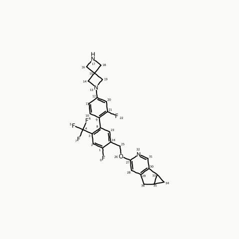 Fc1cc(C(F)(F)F)c(-c2ccc(N3CC4(CNC4)C3)cc2F)cc1COc1cc2c(cn1)C1CC1C2